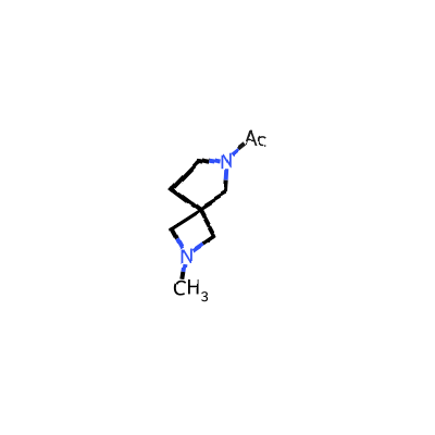 CC(=O)N1CCC2(CN(C)C2)C1